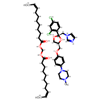 CC(=O)N1CCN(c2ccc(OC[C@H]3CO[C@](Cn4ccnc4)(c4ccc(Cl)cc4Cl)O3)cc2)CC1.CCCCCCCC/C=C\CCCCCCCC(=O)OCOC(=O)CCCCCCC/C=C\CCCCCCCC